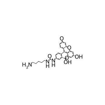 NCCCCCNC(=O)Nc1ccc(-c2c3ccc(=O)cc-3oc3cc(O)ccc23)c(C(=O)O)c1